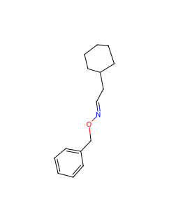 C(CC1CCCCC1)=NOCc1ccccc1